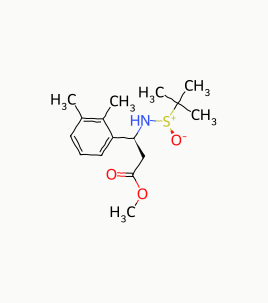 COC(=O)C[C@H](N[S@+]([O-])C(C)(C)C)c1cccc(C)c1C